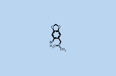 CN(C)Cc1cc2c(cc1Br)OCO2